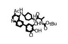 CC(=O)c1cnc2ccc(-c3cc(Cl)c(O)c(Cl)c3)cc2c1NC1CCC(NC(=O)C(C)NC(=O)OC(C)(C)C)CC1